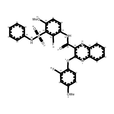 COc1ccc(Oc2nc3ccccc3nc2C(=O)Nc2ccc(OC)c(S(=O)(=O)Nc3ccccc3)c2F)c(F)c1